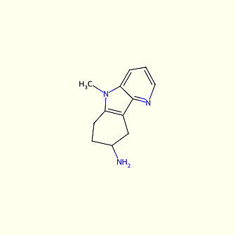 Cn1c2c(c3ncccc31)CC(N)CC2